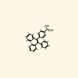 OB(O)c1ccc(C(=C(c2ccccc2)c2ccccc2)c2ccccc2)cc1